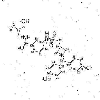 O=C(NCC1(CO)CC1)c1cccc(NS(=O)(=O)CC2CN(C(c3ccc(Cl)cc3)c3ccc(Cl)cc3)C2)c1